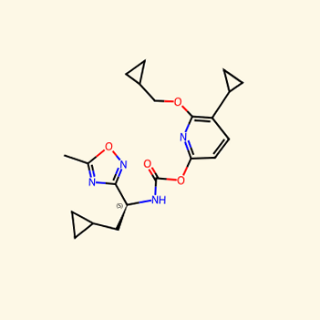 Cc1nc([C@H](CC2CC2)NC(=O)Oc2ccc(C3CC3)c(OCC3CC3)n2)no1